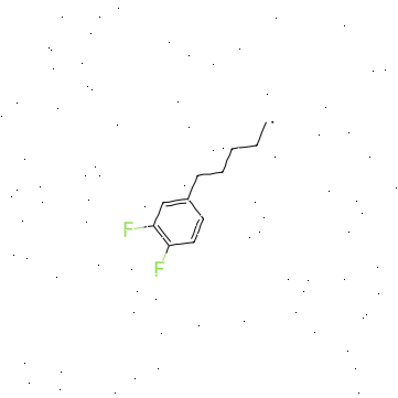 [CH2]CCCCc1ccc(F)c(F)c1